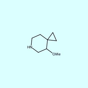 COC1CNCCC12CC2